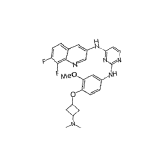 COc1cc(Nc2nccc(Nc3cnc4c(F)c(F)ccc4c3)n2)ccc1OC1CC(N(C)C)C1